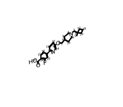 CC1(CN2CCC(COc3ccc(-c4ccc(C(=O)O)c(F)c4)nc3)CC2)CCC1